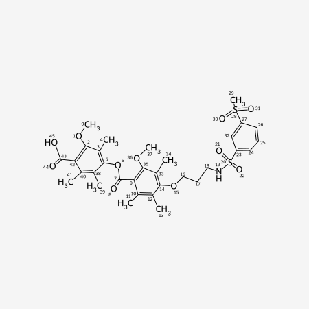 COc1c(C)c(OC(=O)c2c(C)c(C)c(OCCCNS(=O)(=O)c3cccc(S(C)(=O)=O)c3)c(C)c2OC)c(C)c(C)c1C(=O)O